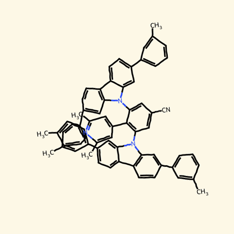 Cc1cccc(-c2ccc3c4ccc(-c5cccc(C)c5)cc4n(-c4cc(C#N)cc(-n5c6cc(-c7cccc(C)c7)ccc6c6ccc(-c7cccc(C)c7)cc65)c4-c4cc(C)nc(C)c4)c3c2)c1